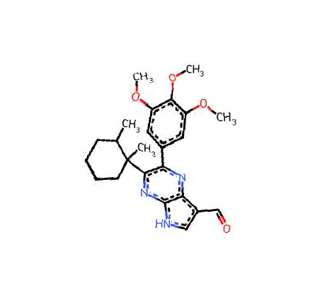 COc1cc(-c2nc3c(C=O)c[nH]c3nc2C2(C)CCCCC2C)cc(OC)c1OC